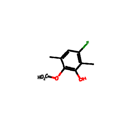 Cc1cc(F)c(C)c(O)c1OC(=O)O